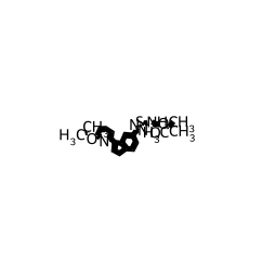 CC(C)Oc1cccc(C2=CCc3ccc(-c4nsc(NC(=O)OC(C)(C)C)n4)cc32)n1